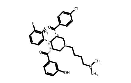 Cc1c(F)cccc1[C@H]1[C@@H](C(=O)c2cccc(O)c2)CN(CCCCN(C)C)C[C@H]1C(=O)c1ccc(Cl)cc1